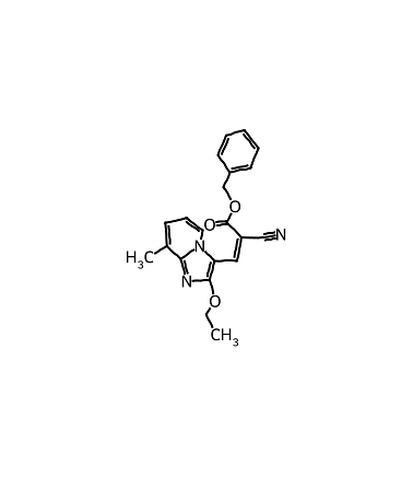 CCOc1nc2c(C)cccn2c1/C=C(/C#N)C(=O)OCc1ccccc1